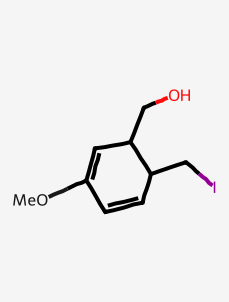 COC1=CC(CO)C(CI)C=C1